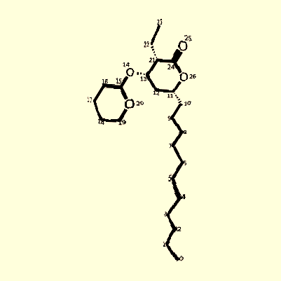 CCCCCCCCCCC[C@@H]1C[C@H](OC2CCCCO2)[C@H](CC)C(=O)O1